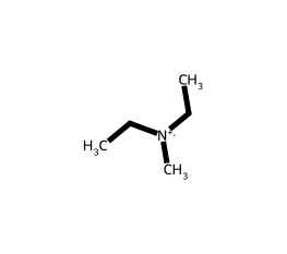 CC[N+](C)CC